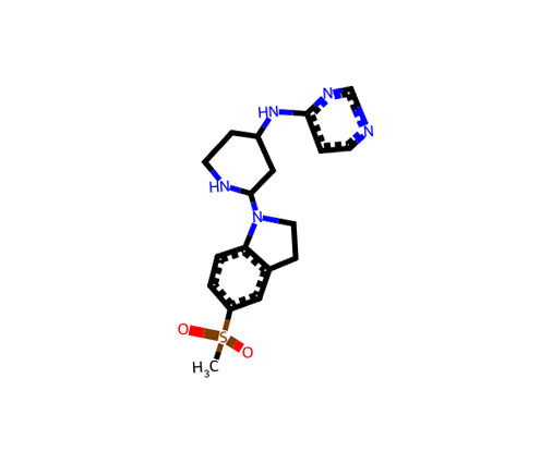 CS(=O)(=O)c1ccc2c(c1)CCN2C1CC(Nc2ccncn2)CCN1